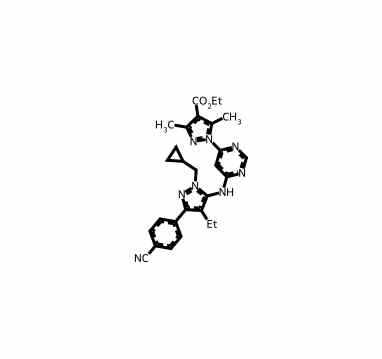 CCOC(=O)c1c(C)nn(-c2cc(Nc3c(CC)c(-c4ccc(C#N)cc4)nn3CC3CC3)ncn2)c1C